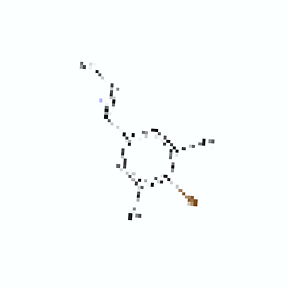 CCc1cc(/C=C/C#N)cc(CC)c1Br